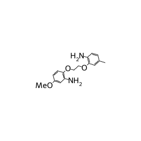 COc1ccc(OCCOc2cc(C)ccc2N)c(N)c1